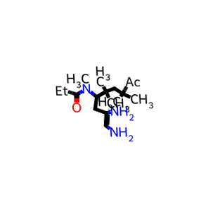 CCC(=O)N(C)C(C/C(N)=C/N)C(C)(C)CC(C)(C)C(C)=O